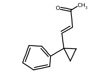 CC(=O)C=CC1(c2ccccc2)CC1